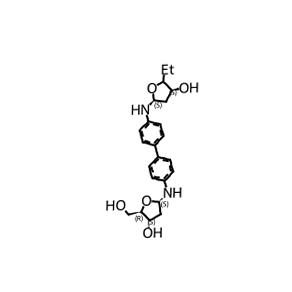 CCC1O[C@H](Nc2ccc(-c3ccc(N[C@@H]4C[C@H](O)[C@@H](CO)O4)cc3)cc2)C[C@@H]1O